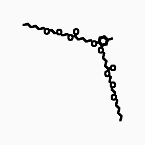 CCCCCCOCCOCCOC(=O)CCCCOc1ccc(C)cc1OCCCCC(=O)OCCOCCOCCCCCC